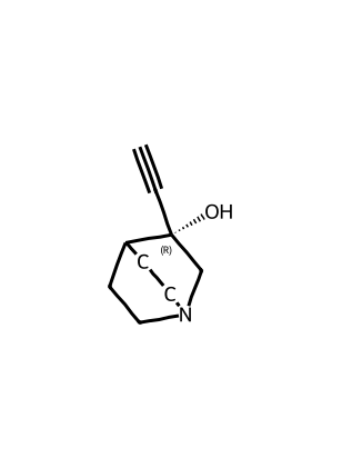 C#C[C@@]1(O)CN2CCC1CC2